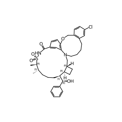 C[C@@H]1[C@@H](C)CCC[C@H]([C@@H](O)c2ccccc2)[C@@H]2CC[C@H]2CN2CCCCc3cc(Cl)ccc3COc3ccc(cc32)C(=O)NS1(=O)=O